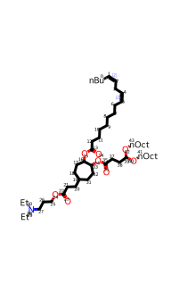 CCCC/C=C\C/C=C\CCCCCCCC(=O)OC1CCC(CCC(=O)OCCCN(CC)CC)CCC1OC(=O)CCC(OCCCCCCCC)OCCCCCCCC